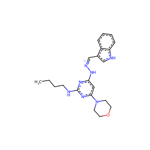 CCCCNc1nc(N/N=C\c2c[nH]c3ccccc23)cc(N2CCOCC2)n1